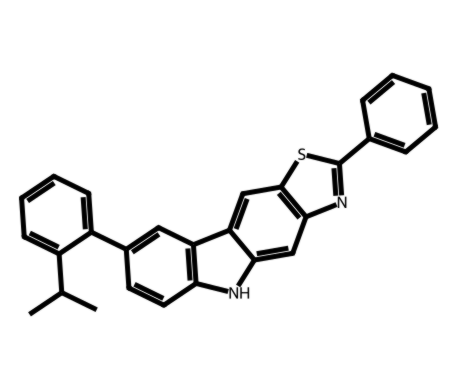 CC(C)c1ccccc1-c1ccc2[nH]c3cc4nc(-c5ccccc5)sc4cc3c2c1